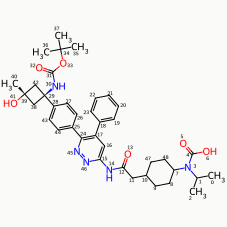 CC(C)N(C(=O)O)C1CCC(CC(=O)Nc2cc(-c3ccccc3)c(-c3ccc([C@]4(NC(=O)OC(C)(C)C)C[C@](C)(O)C4)cc3)nn2)CC1